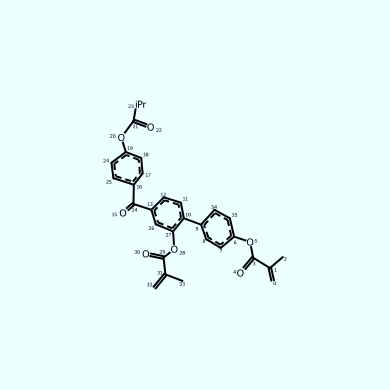 C=C(C)C(=O)Oc1ccc(-c2ccc(C(=O)c3ccc(OC(=O)C(C)C)cc3)cc2OC(=O)C(=C)C)cc1